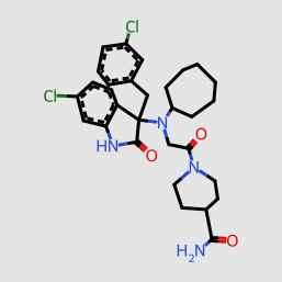 NC(=O)C1CCN(C(=O)CN(C2CCCCCC2)C2(Cc3cccc(Cl)c3)C(=O)Nc3cc(Cl)ccc32)CC1